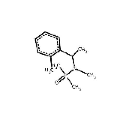 Cc1c[c]ccc1C(C)N(C)P(C)(C)=O